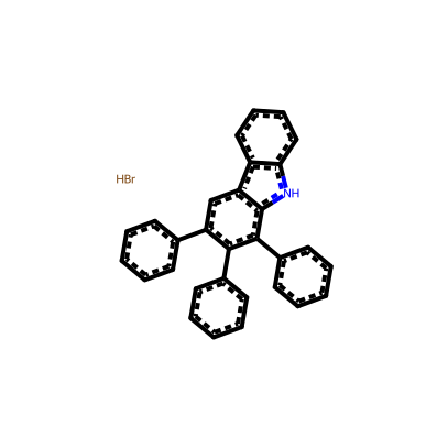 Br.c1ccc(-c2cc3c([nH]c4ccccc43)c(-c3ccccc3)c2-c2ccccc2)cc1